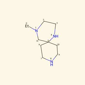 CCN1CCNC2(CCNCC2)C1